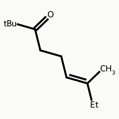 CCC(C)=CCCC(=O)C(C)(C)C